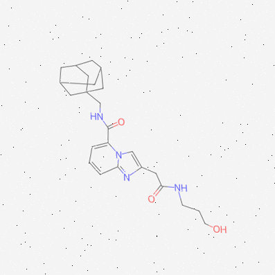 O=C(Cc1cn2c(C(=O)NCC34CC5CC(CC(C5)C3)C4)cccc2n1)NCCCO